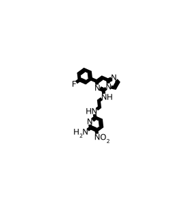 Nc1nc(NCCNc2nc(-c3cccc(F)c3)cc3nccn23)ccc1[N+](=O)[O-]